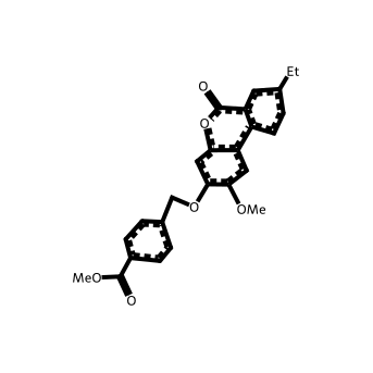 CCc1ccc2c(c1)c(=O)oc1cc(OCc3ccc(C(=O)OC)cc3)c(OC)cc12